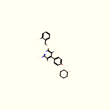 N#Cc1ccccc1CSc1nc(N)c(C#N)c(-c2ccc(O[C@H]3CCCC[C@@H]3O)cc2)c1C#N